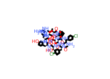 CC(=O)N(C(=O)[C@@H](N)Cc1ccc(Cl)cc1)[C@@H](Cc1ccc(Cl)cc1)C(=O)N[C@H](Cc1c[nH]c2ccccc12)C(=O)N[C@@H](CO)C(=O)N[C@@H](Cc1ccc(O)cc1)C(=O)N[C@H](Cc1c[nH]cn1)C(=O)N[C@@H](CC(C)C)C(=O)N[C@@H](CCCNC(=N)N)C(=O)N1CCC[C@H]1C(=O)N[C@H](C)C(N)=O